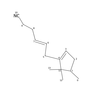 CC1CC=C(CC=CCCC#N)C1(C)C